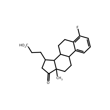 CC12CCC3c4cccc(F)c4CCC3C1C(CCC(=O)O)CC2=O